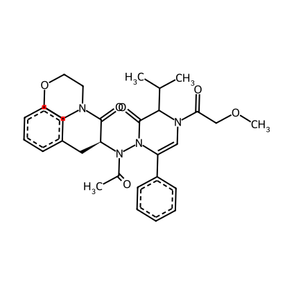 COCC(=O)N1C=C(c2ccccc2)N(N(C(C)=O)[C@@H](Cc2ccccc2)C(=O)N2CCOCC2)C(=O)C1C(C)C